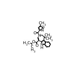 Cc1cc(C(=O)N2C=C(C(=O)OC(C)C)c3[nH]c4ccccc4c3C(C)(C)C2)no1